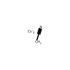 CC#N.[Cs+].[I-]